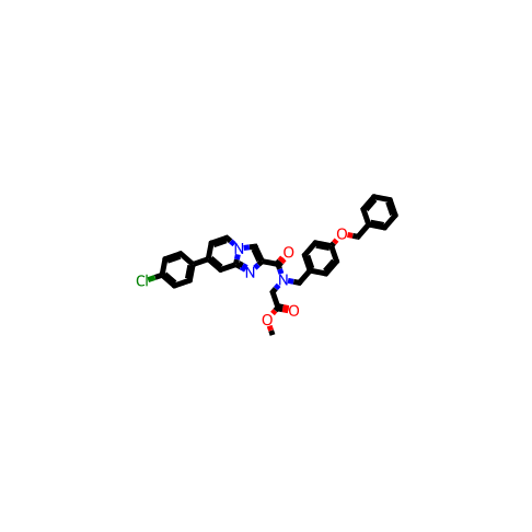 COC(=O)CN(Cc1ccc(OCc2ccccc2)cc1)C(=O)c1cn2ccc(-c3ccc(Cl)cc3)cc2n1